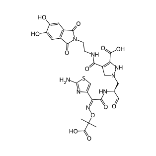 CC(C)(O/N=C(\C(=O)N[C@H](C=O)CN1CC(C(=O)NCCN2C(=O)c3cc(O)c(O)cc3C2=O)=C(C(=O)O)N1)c1csc(N)n1)C(=O)O